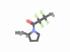 O=C(O)[C@@H]1CCCN1C(=O)C(F)(F)C(F)(F)C(F)(F)F